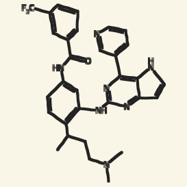 CC(CCN(C)C)c1ccc(NC(=O)c2cccc(C(F)(F)F)c2)cc1Nc1nc(-c2cccnc2)c2[nH]ccc2n1